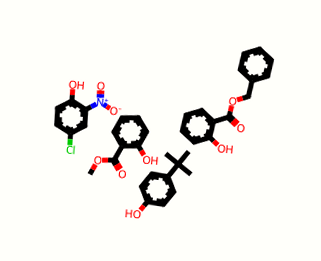 CC(C)(C)c1ccc(O)cc1.COC(=O)c1ccccc1O.O=C(OCc1ccccc1)c1ccccc1O.O=[N+]([O-])c1cc(Cl)ccc1O